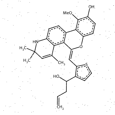 C=CCC(O)c1ccsc1/C=C1\Oc2ccc(O)c(OC)c2-c2ccc3c(c21)C(C)=CC(C)(C)N3